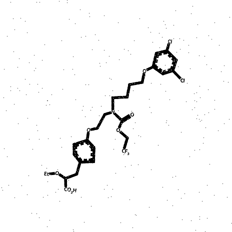 CCOC(Cc1ccc(OCCN(CCCCOc2cc(Cl)cc(Cl)c2)C(=O)OCC(F)(F)F)cc1)C(=O)O